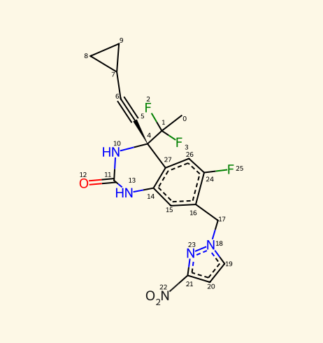 CC(F)(F)[C@@]1(C#CC2CC2)NC(=O)Nc2cc(Cn3ccc([N+](=O)[O-])n3)c(F)cc21